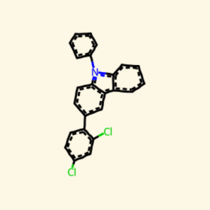 Clc1ccc(-c2ccc3c(c2)c2ccccc2n3-c2ccccc2)c(Cl)c1